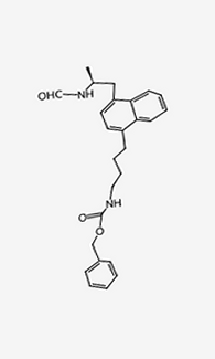 C[C@@H](Cc1ccc(CCCCNC(=O)OCc2ccccc2)c2ccccc12)NC=O